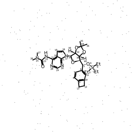 CC[Si](CC)(CC)O[C@H](c1ccc2c(c1)CC2)[C@H]1O[C@@H](n2ccc3c(NC(=O)N(C)C)ncnc32)[C@@H]2OC(C)(C)O[C@@H]21